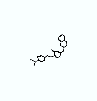 CC[S+]([O-])c1ccc(COc2coc(CN3CCc4ccccc4C3)cc2=O)cc1